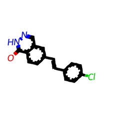 O=c1[nH]ncc2cc(/C=C/c3ccc(Cl)cc3)ccc12